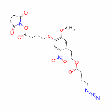 COc1cc(CCOC(=O)CCCN=[N+]=[N-])c([N+](=O)[O-])cc1OCCCC(=O)ON1C(=O)CCC1=O